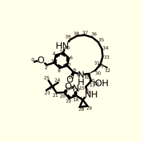 COCc1cc2cc(c1)C(=O)N[C@H]([C@H](O)CNC1(c3cc(CC(C)(C)C)on3)CC1)C[C@H](C)CCCCCCCN2